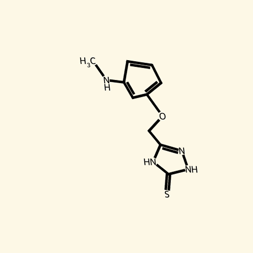 CNc1cccc(OCc2n[nH]c(=S)[nH]2)c1